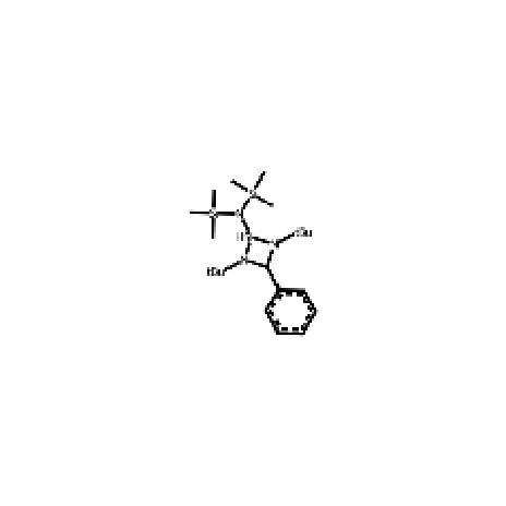 CC(C)(C)N1C(c2ccccc2)N(C(C)(C)C)[SiH]1N([Si](C)(C)C)[Si](C)(C)C